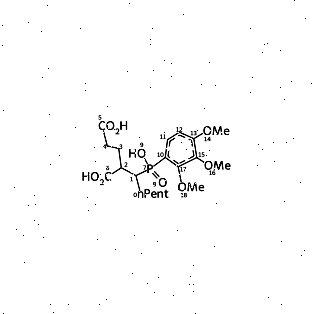 CCCCCC(C(CCC(=O)O)C(=O)O)P(=O)(O)c1ccc(OC)c(OC)c1OC